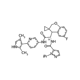 Cc1c[nH]c(C)c1-c1ccc(NC(=O)[C@@H](NC(=O)c2ccnn2C(C)C)C2c3cc(F)ccc3OCC23CC3)cn1